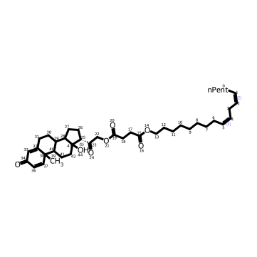 CCCCC/C=C\C/C=C\CCCCCCCCOC(=O)CCC(=O)OCC(=O)[C@H]1CCC2C3CCC4=CC(=O)C=CC4(C)C3CCC21O